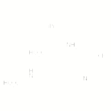 CC(C)[C@H](N)C(=O)O.O=C(O)NCc1ccc(C(F)(F)F)nc1